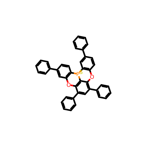 S=P12c3ccc(-c4ccccc4)cc3Oc3c(-c4ccccc4)cc(-c4ccccc4)c(c31)Oc1ccc(-c3ccccc3)cc12